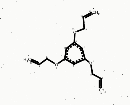 C=CCOc1cc(OCC=C)cc(OCC=C)c1